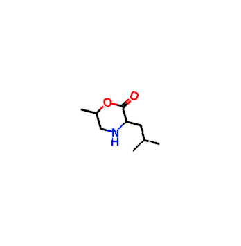 CC(C)CC1NCC(C)OC1=O